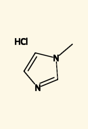 Cl.Cn1ccnc1